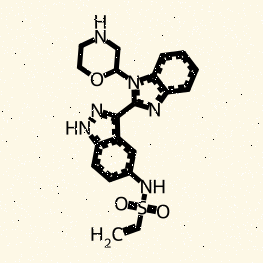 C=CS(=O)(=O)Nc1ccc2[nH]nc(-c3nc4ccccc4n3C3CNCCO3)c2c1